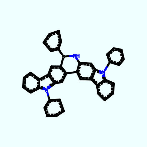 c1ccc(B2Nc3cc4c(cc3-c3cc5c(cc32)c2ccccc2n5-c2ccccc2)c2ccccc2n4-c2ccccc2)cc1